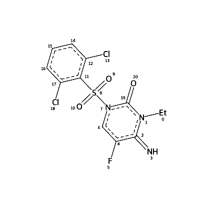 CCn1c(=N)c(F)cn(S(=O)(=O)c2c(Cl)cccc2Cl)c1=O